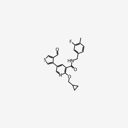 Cc1ccc(CNC(=O)c2cc(-c3cscc3C=O)cnc2OCC2CC2)cc1F